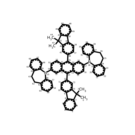 CC1(C)c2ccccc2-c2ccc(-c3c4ccc(N5c6ccccc6CCc6ccccc65)cc4c(-c4ccc5c(c4)C(C)(C)c4ccccc4-5)c4ccc(N5c6ccccc6CCc6ccccc65)cc34)cc21